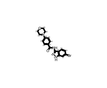 O=C(Nc1n[nH]c2cc(Br)ccc12)c1ccc(N2CCOCC2)cc1